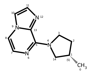 C[C@H]1CCN(c2nccn3ccnc23)C1